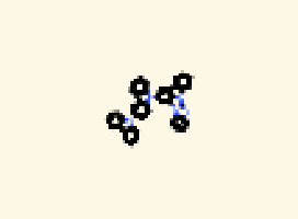 c1ccc2c(c1)nc1n2c2cc(-n3c4ccccc4c4cc(-n5c6ccccc6c6ccccc65)ccc43)cc3c4ccccc4n1c32